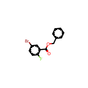 O=C(OCc1ccccc1)c1cc(Br)ccc1F